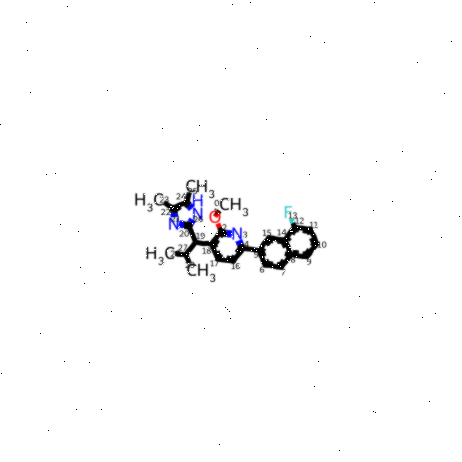 COc1nc(-c2ccc3cccc(F)c3c2)ccc1C(c1nc(C)c(C)[nH]1)C(C)C